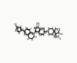 C[C@@H]1OCC2(CCN(c3cnc4c(N5CCCc6nc(-c7cnn(C)c7)ccc65)n[nH]c4n3)CC2)[C@@H]1N